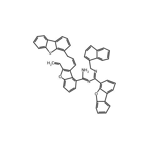 C=Cc1oc2cccc(/C(N)=N/C(=N\Cc3cccc4ccccc34)c3cccc4c3oc3ccccc34)c2c1/C=C\Cc1cccc2c1sc1ccccc12